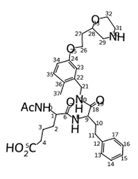 CC(=O)NC(CCCC(=O)O)C(=O)NC(CCc1ccccc1)C(=O)NCc1cc(OCCC2CNCCO2)ccc1C